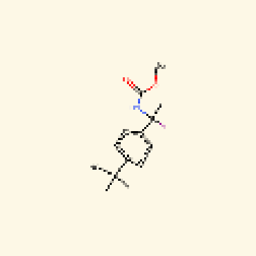 CC(C)(C)OC(=O)NC(C)(I)c1ccc(C(C)(C)C#N)cc1